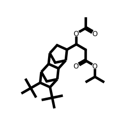 CC(=O)OC(CC(=O)OC(C)C)C1CC2CC1C1C3CC(C21)C(C(C)(C)C)C3C(C)(C)C